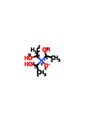 CC(O)[N+]([O-])(C(C)O)C(C)O